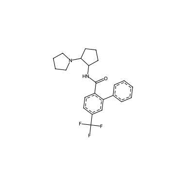 O=C(NC1CCCC1N1CCCC1)c1ccc(C(F)(F)F)cc1-c1ccccc1